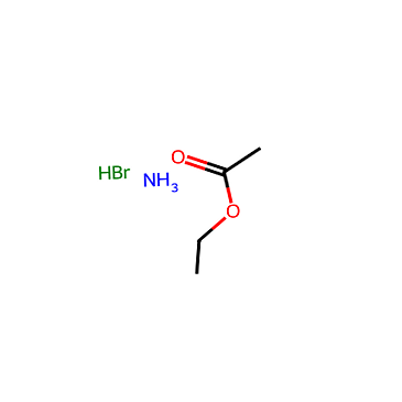 Br.CCOC(C)=O.N